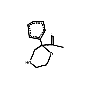 CC(=O)C1(c2ccccc2)CNCCO1